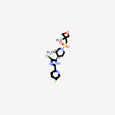 C[C@H]1CN(S(=O)(=O)CC2(C)COC2)CC[C@H]1c1[nH]c(-c2ccc(F)cn2)nc1Cl